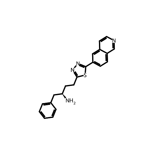 N[C@H](CCc1nnc(-c2ccc3cnccc3c2)s1)Cc1ccccc1